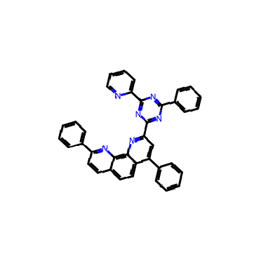 c1ccc(-c2ccc3ccc4c(-c5ccccc5)cc(-c5nc(-c6ccccc6)nc(-c6ccccn6)n5)nc4c3n2)cc1